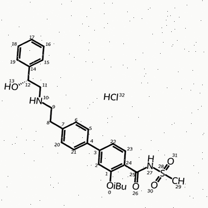 CC(C)COc1cc(-c2ccc(CCNC[C@H](O)c3ccccc3)cc2)ccc1C(=O)NS(C)(=O)=O.Cl